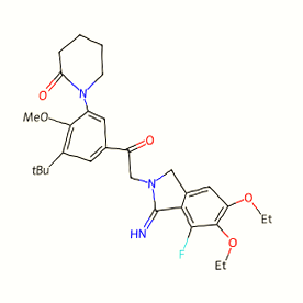 CCOc1cc2c(c(F)c1OCC)C(=N)N(CC(=O)c1cc(N3CCCCC3=O)c(OC)c(C(C)(C)C)c1)C2